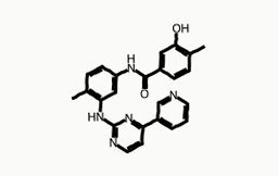 Cc1ccc(C(=O)Nc2ccc(C)c(Nc3nccc(-c4cccnc4)n3)c2)cc1O